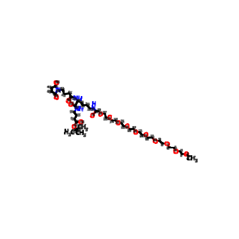 COCCOCCOCCOCCOCCOCCOCCOCCOCCOCC(=O)NCCCC[C@H](NC(=O)CCCN1C(=O)C=CC1=O)C(=O)NCCCC(=O)OC(C)(C)C